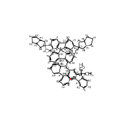 CC1(c2ccc3c(c2)C2(c4cc(C5(C)CC6CCCC6C5)ccc4-3)c3ccccc3-c3c(N(c4ccc5c(c4)C(C)(C)c4ccccc4-5)c4ccccc4-c4ccccc4)cccc32)CC2CCCC2C1